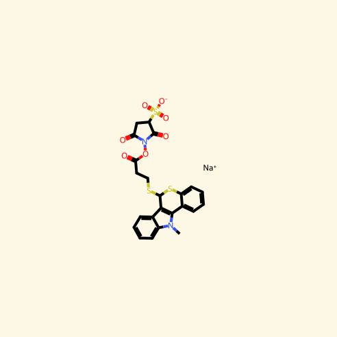 Cn1c2c(c3ccccc31)C(SCCC(=O)ON1C(=O)CC(S(=O)(=O)[O-])C1=O)Sc1ccccc1-2.[Na+]